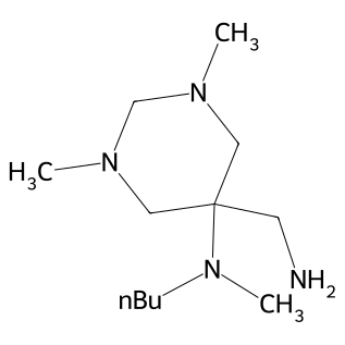 CCCCN(C)C1(CN)CN(C)CN(C)C1